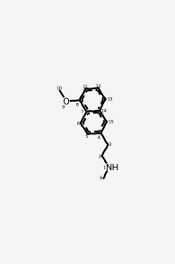 CNCCc1ccc2c(OC)cccc2c1